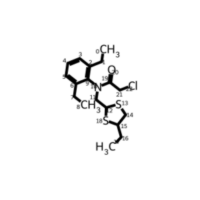 CCc1cccc(CC)c1N(CC1SCC(CC)S1)C(=O)CCl